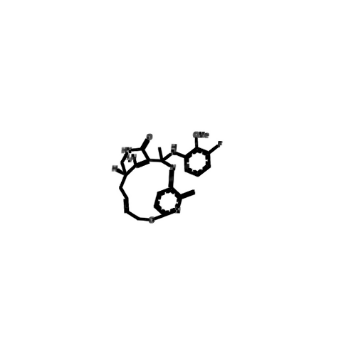 C=c1nc2cc/c1=N/C(C)(Nc1cccc(F)c1OC)C1=C(N)[C@H](C/C=C/CO2)CNC1=O